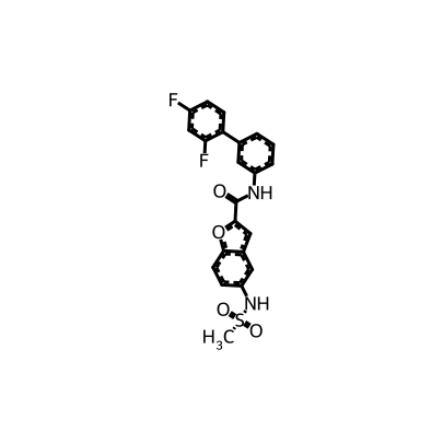 CS(=O)(=O)Nc1ccc2oc(C(=O)Nc3cccc(-c4ccc(F)cc4F)c3)cc2c1